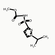 COC(=O)NS(=O)(=O)c1ccn(C(C)C)n1